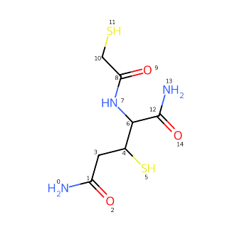 NC(=O)CC(S)C(NC(=O)CS)C(N)=O